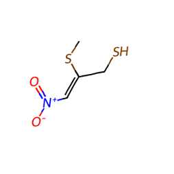 CS/C(=C\[N+](=O)[O-])CS